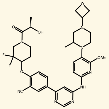 COc1nc(Nc2cc(-c3ccc(OC4CCN(C(=O)[C@@H](C)O)CC4(F)F)c(C#N)c3)ncn2)ccc1N1CCN(C2COC2)CC1C